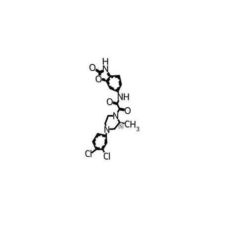 C[C@H]1CN(c2ccc(Cl)c(Cl)c2)CCN1C(=O)C(=O)Nc1ccc2[nH]c(=O)oc2c1